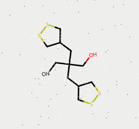 O=NCC(CO)(CC1CSSC1)CC1CSSC1